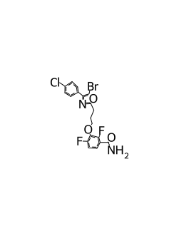 NC(=O)c1ccc(F)c(OCCCc2nc(-c3ccc(Cl)cc3)c(Br)o2)c1F